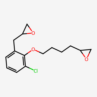 Clc1cccc(CC2CO2)c1OCCCCC1CO1